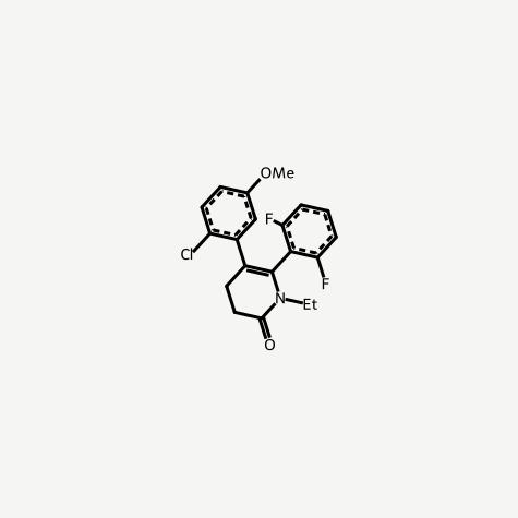 CCN1C(=O)CCC(c2cc(OC)ccc2Cl)=C1c1c(F)cccc1F